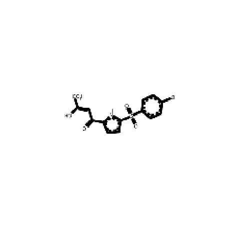 O=C(O)C(O)=CC(=O)c1ccc(S(=O)(=O)c2ccc(Cl)cc2)[nH]1